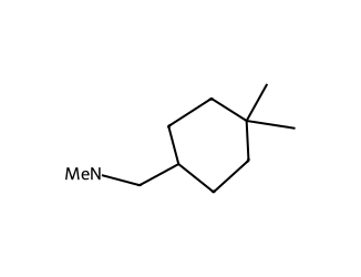 CNCC1CCC(C)(C)CC1